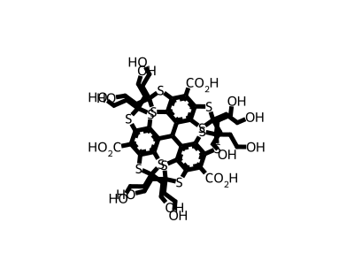 O=C(O)c1c2c(c([C](c3c4c(c(C(=O)O)c5c3SC(CCO)(CCO)S5)SC(CCO)(CCO)S4)c3c4c(c(C(=O)O)c5c3SC(CCO)(CCO)S5)SC(CCO)(CCO)S4)c3c1SC(CCO)(CCO)S3)SC(CCO)(CCO)S2